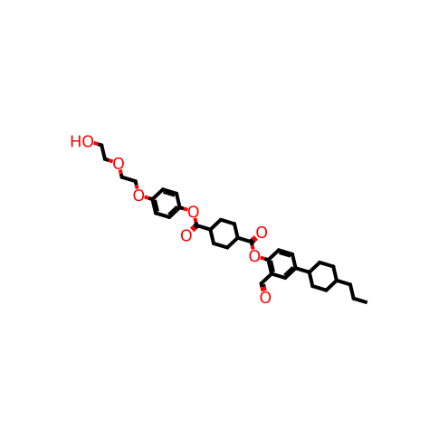 CCCC1CCC(c2ccc(OC(=O)C3CCC(C(=O)Oc4ccc(OCCOCCO)cc4)CC3)c(C=O)c2)CC1